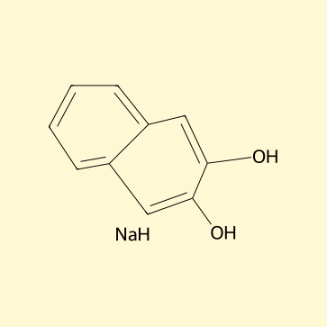 Oc1cc2ccccc2cc1O.[NaH]